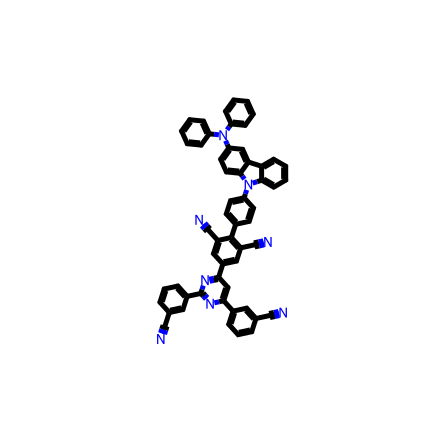 N#Cc1cccc(-c2cc(-c3cc(C#N)c(-c4ccc(-n5c6ccccc6c6cc(N(c7ccccc7)c7ccccc7)ccc65)cc4)c(C#N)c3)nc(-c3cccc(C#N)c3)n2)c1